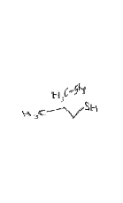 CCCS.CS